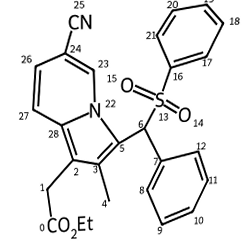 CCOC(=O)Cc1c(C)c(C(c2ccccc2)S(=O)(=O)c2ccccc2)n2cc(C#N)ccc12